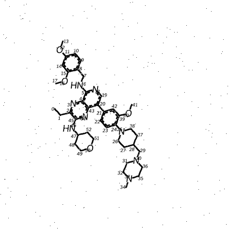 CCc1nc2c(NCc3ccc(OC)cc3OC)ncc(-c3ccc(N4CCC(CN5CCN(C)CC5)CC4)c(OC)c3)c2nc1NC1CCOCC1